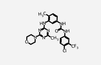 Cc1nc(Nc2cc(NC(=O)Nc3ccc(Cl)c(C(F)(F)F)c3)ccc2C)nc(N2CCOCC2)n1